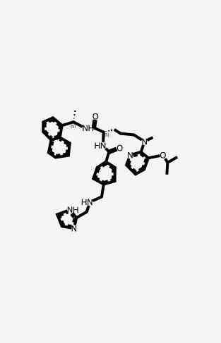 CC(C)Oc1cccnc1N(C)CCC[C@H](NC(=O)c1ccc(CNCc2ncc[nH]2)cc1)C(=O)N[C@@H](C)c1cccc2ccccc12